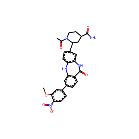 COc1cc(-c2ccc3c(c2)Nc2ccc(C4CC(C(N)=O)CCN4C(C)=O)cc2NC3=O)ccc1[N+](=O)[O-]